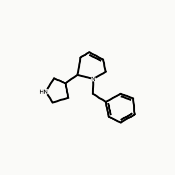 C1=CCN(Cc2ccccc2)C(C2CCNC2)C1